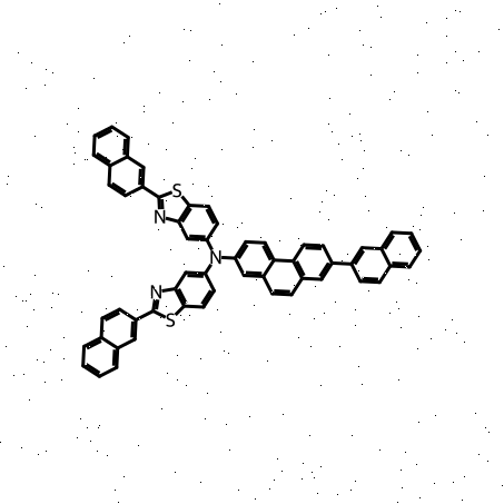 c1ccc2cc(-c3ccc4c(ccc5cc(N(c6ccc7sc(-c8ccc9ccccc9c8)nc7c6)c6ccc7sc(-c8ccc9ccccc9c8)nc7c6)ccc54)c3)ccc2c1